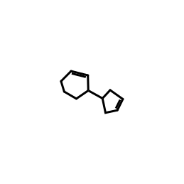 C1=CC(C2CC=CC2)CCC1